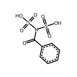 O=C(c1ccccc1)N(S(=O)(=O)O)S(=O)(=O)O